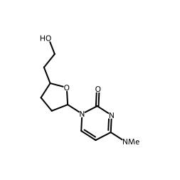 CNc1ccn(C2CCC(CCO)O2)c(=O)n1